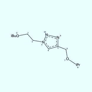 CC(C)COCCn1cc(COC(C)C)nn1